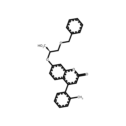 Cc1ccccc1-c1cc(=O)oc2cc(O[C@H](COCc3ccccc3)C(=O)O)ccc12